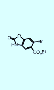 CCOC(=O)c1cc2[nH]c(=O)oc2cc1Br